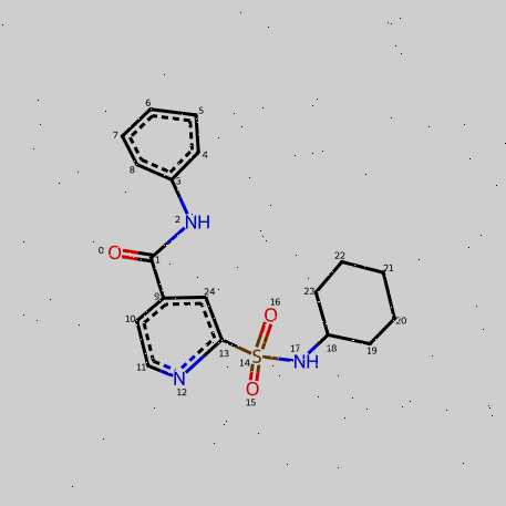 O=C(Nc1ccccc1)c1ccnc(S(=O)(=O)NC2CCCCC2)c1